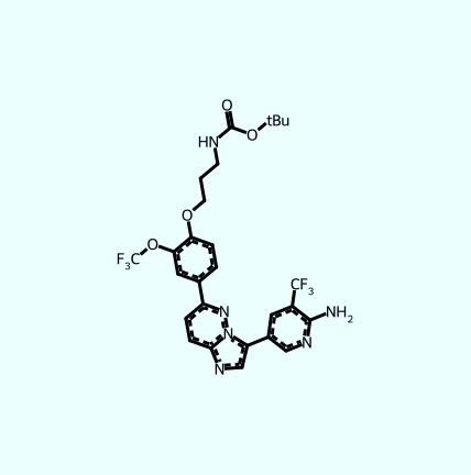 CC(C)(C)OC(=O)NCCCOc1ccc(-c2ccc3ncc(-c4cnc(N)c(C(F)(F)F)c4)n3n2)cc1OC(F)(F)F